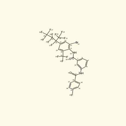 O=C(Nc1cccc(C(=O)Nc2c(Br)cc(C(F)(C(F)(F)F)C(F)(F)C(F)(F)F)cc2C(F)(F)F)c1)c1ccc(F)cc1